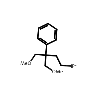 COCC(CCC(C)C)(COC)c1ccccc1